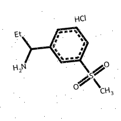 CCC(N)c1cccc(S(C)(=O)=O)c1.Cl